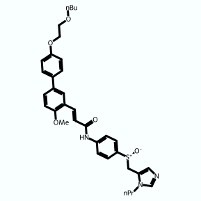 CCCCOCCOc1ccc(-c2ccc(OC)c(/C=C/C(=O)Nc3ccc([S@+]([O-])Cc4cncn4CCC)cc3)c2)cc1